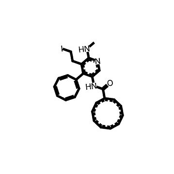 CNc1ncc(NC(=O)c2ccccccccc2)c(C2=C/C=C\C=C/C=C\2)c1CCI